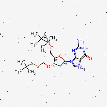 CC(C)(C)SSCO[C@H]1C[C@H](n2c[n+](I)c3c(=O)[nH]c(N)nc32)O[C@@H]1CO[Si](C)(C)C(C)(C)C